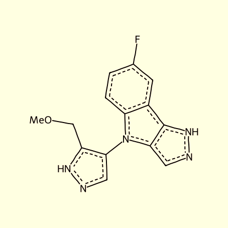 COCc1[nH]ncc1-n1c2ccc(F)cc2c2[nH]ncc21